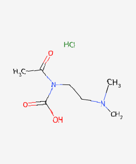 CC(=O)N(CCN(C)C)C(=O)O.Cl